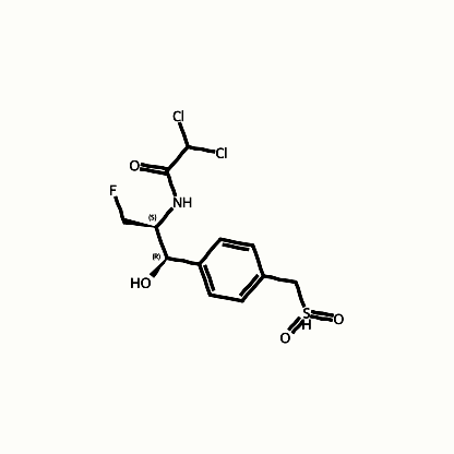 O=C(N[C@H](CF)[C@H](O)c1ccc(C[SH](=O)=O)cc1)C(Cl)Cl